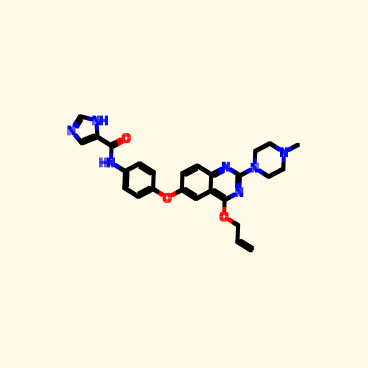 C=CCOc1nc(N2CCN(C)CC2)nc2ccc(Oc3ccc(NC(=O)c4cnc[nH]4)cc3)cc12